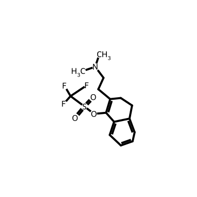 CN(C)CCC1=C(OS(=O)(=O)C(F)(F)F)c2ccccc2CC1